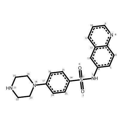 O=S(=O)(Nc1ccc2ncccc2c1)c1ccc(N2CCNCC2)cc1